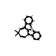 CC1(C)C=Cc2c3ccccc3n3c2c(c2ccccc23)=C1